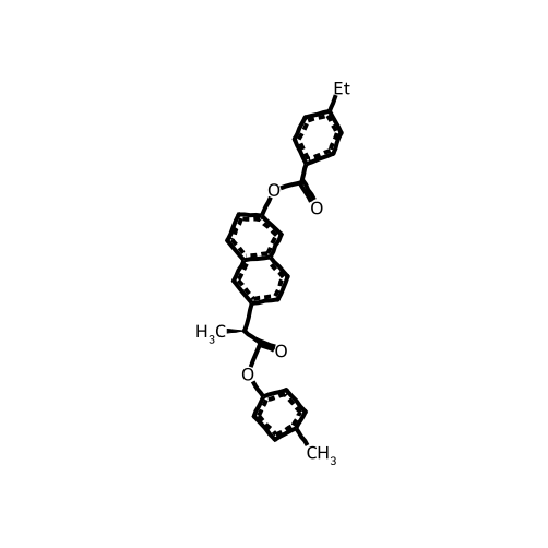 CCc1ccc(C(=O)Oc2ccc3cc([C@H](C)C(=O)Oc4ccc(C)cc4)ccc3c2)cc1